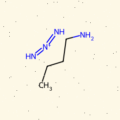 CCCCN.N=[N+]=N